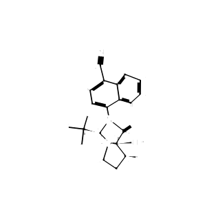 CC(C)(C)[C@H]1N(c2ccc(C#N)c3ccccc23)C(=O)[C@@H]2[C@@H](O)CCN21